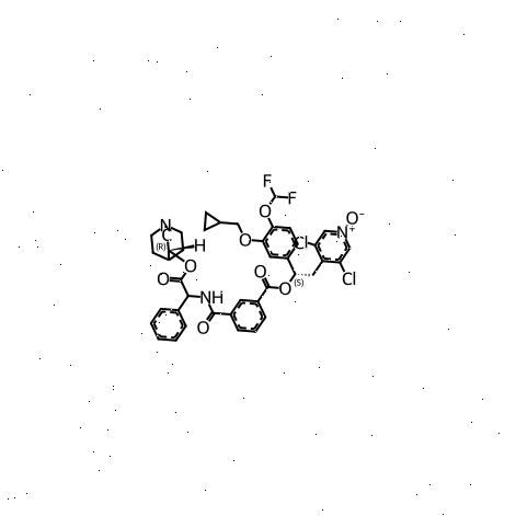 O=C(NC(C(=O)O[C@H]1CN2CCC1CC2)c1ccccc1)c1cccc(C(=O)O[C@@H](Cc2c(Cl)c[n+]([O-])cc2Cl)c2ccc(OC(F)F)c(OCC3CC3)c2)c1